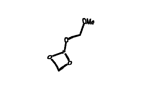 COCOP1OCO1